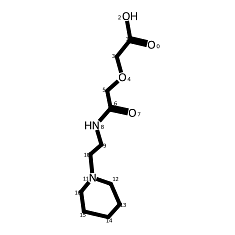 O=C(O)COCC(=O)NCCN1CCCCC1